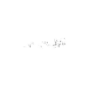 C[C@]12CCC(=O)C=C1CC[C@@H]1C2[C@@H](O)C[C@@]2(C)[C@H]1CC[C@]2(O)C(=O)COC(=O)CC(N)C(=O)OCCCCON(O)O